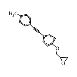 Cc1ccc(C#Cc2ccc(OCC3CO3)cc2)cc1